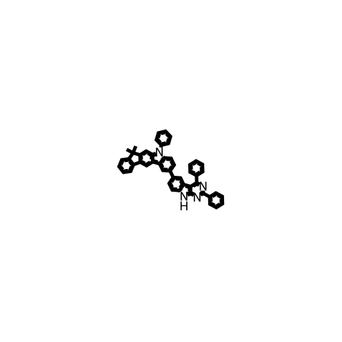 CC1(C)c2ccccc2-c2cc3c4cc(-c5ccc6[nH]c7nc(-c8ccccc8)nc(-c8ccccc8)c7c6c5)ccc4n(-c4ccccc4)c3cc21